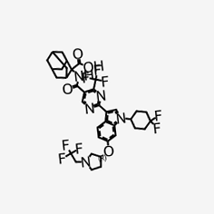 O=C(NC1(C(=O)O)C2CC3CC(C2)CC1C3)c1cnc(-c2cn(C3CCC(F)(F)CC3)c3cc(O[C@@H]4CCN(CC(F)(F)F)C4)ccc23)nc1C(F)(F)F